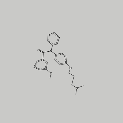 COc1cccc(C(=O)N(c2ccccc2)c2ccc(OCCCN(C)C)cc2)c1